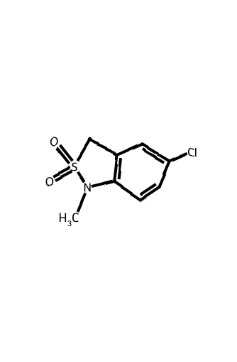 CN1c2ccc(Cl)cc2CS1(=O)=O